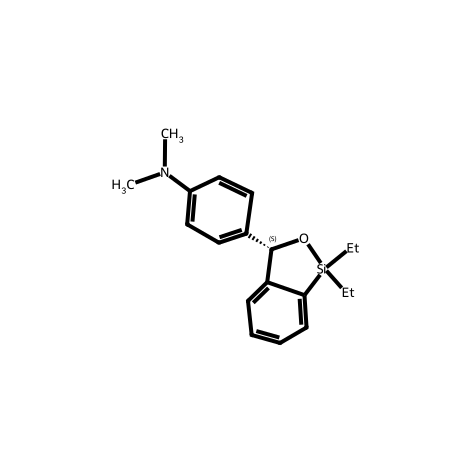 CC[Si]1(CC)O[C@@H](c2ccc(N(C)C)cc2)c2ccccc21